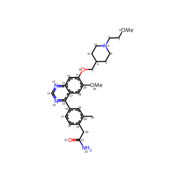 COCCN1CCC(COc2cc3ncnc(-c4ccc(CC(N)=O)c(C)c4)c3cc2OC)CC1